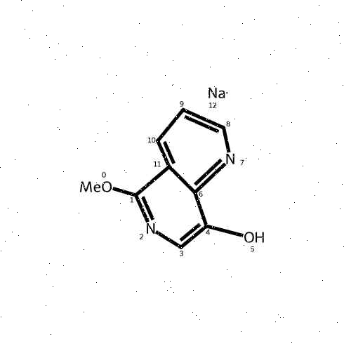 COc1ncc(O)c2ncccc12.[Na]